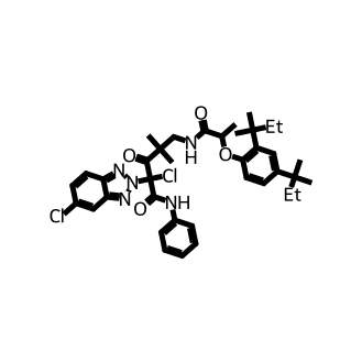 CCC(C)(C)c1ccc(OC(C)C(=O)NCC(C)(C)C(=O)C(Cl)(C(=O)Nc2ccccc2)n2nc3ccc(Cl)cc3n2)c(C(C)(C)CC)c1